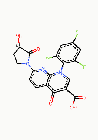 O=C(O)c1cn(-c2c(F)cc(F)cc2F)c2nc(N3CC[C@@H](O)C3=O)ccc2c1=O